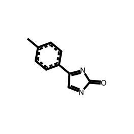 Cc1ccc(C2=NC(=O)N=C2)cc1